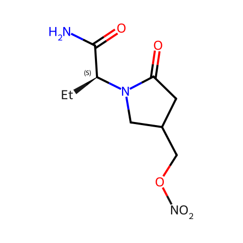 CC[C@@H](C(N)=O)N1CC(CO[N+](=O)[O-])CC1=O